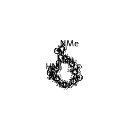 CNc1ccn(-c2ccnc3c2cc(CN2CCC(c4c(C)cc(C(=O)N5CCC(CN6CCN(Cc7ccc8c(c7)n(C)c(=O)n8[C@@H]7CCC(=O)NC7=O)CC6)CC5)cc4F)CC2)n3C)c(=O)c1